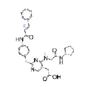 CN(CC(=O)NC1CCCC1)c1nc(Cc2ccc(NC(=O)/C=C/c3ccccc3)cc2)ncc1CC(=O)O